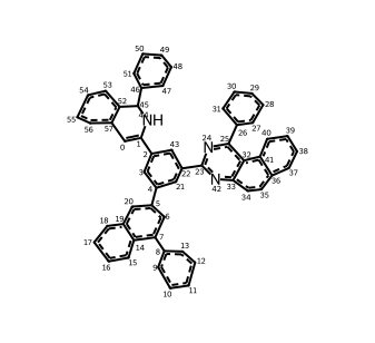 C1=C(c2cc(-c3cc(-c4ccccc4)c4ccccc4c3)cc(-c3nc(-c4ccccc4)c4c(ccc5ccccc54)n3)c2)NC(c2ccccc2)c2ccccc21